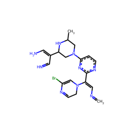 C=N/C=C(/c1nccc(N2CC(C)NC(/C(C=N)=C/N)C2)n1)N1C=C(Br)N=CC1